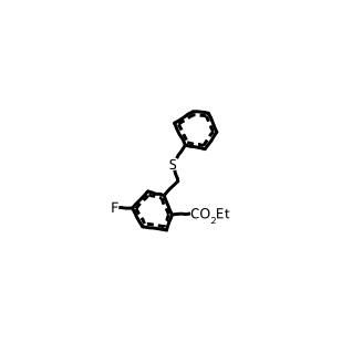 CCOC(=O)c1ccc(F)cc1CSc1ccccc1